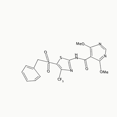 COc1ncnc(OC)c1C(=O)Nc1nc(C(F)(F)F)c(S(=O)(=O)Cc2ccccc2)s1